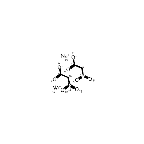 O=C([O-])CP(=O)=O.O=C([O-])CP(=O)=O.[Na+].[Na+]